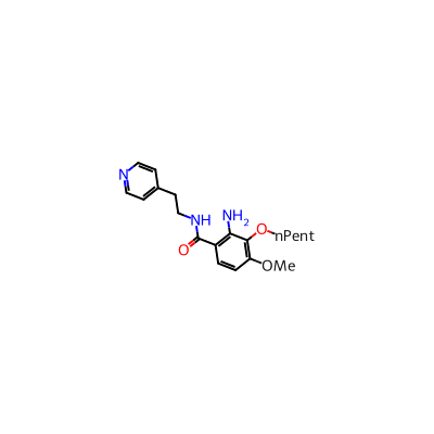 CCCCCOc1c(OC)ccc(C(=O)NCCc2ccncc2)c1N